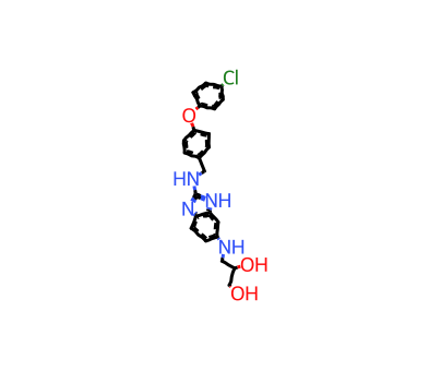 OCC(O)CNc1ccc2nc(NCc3ccc(Oc4ccc(Cl)cc4)cc3)[nH]c2c1